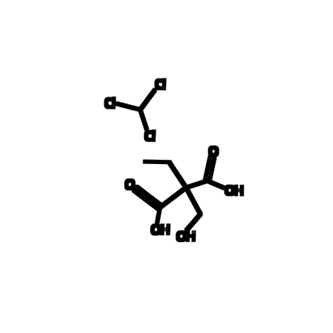 CCC(CO)(C(=O)O)C(=O)O.ClC(Cl)Cl